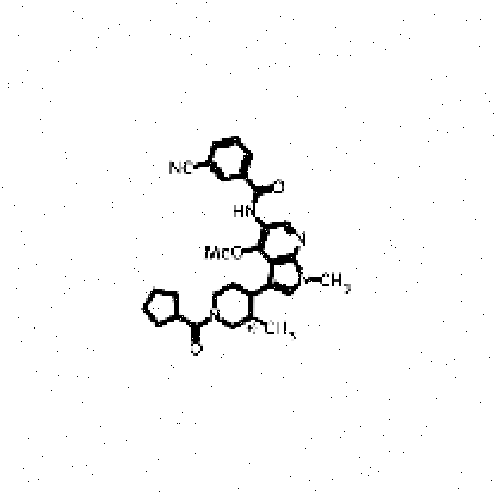 COc1c(NC(=O)c2cccc(C#N)c2)cnc2c1c(C1CCN(C(=O)C3CCCC3)C[C@@H]1C)cn2C